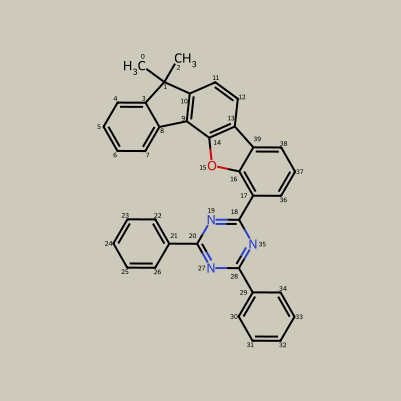 CC1(C)c2ccccc2-c2c1ccc1c2oc2c(-c3nc(-c4ccccc4)nc(-c4ccccc4)n3)cccc21